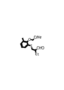 CCC(C=O)CSc1cccc(C)c1OCOC